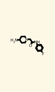 NC1CCN(CC(=O)Nc2ccc(F)cc2)CC1